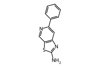 Nc1nc2cc(-c3ccccc3)ncc2s1